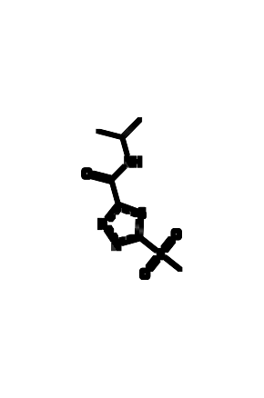 CC(C)NC(=O)c1nnc(S(C)(=O)=O)s1